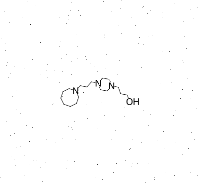 OCCCN1CCN(CCCN2CCCCCCC2)CC1